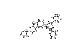 c1ccc(-c2ccc3c(c2)oc2ccc(-c4nc(-c5ccccc5)nc(-c5ccccc5)n4)cc23)cc1